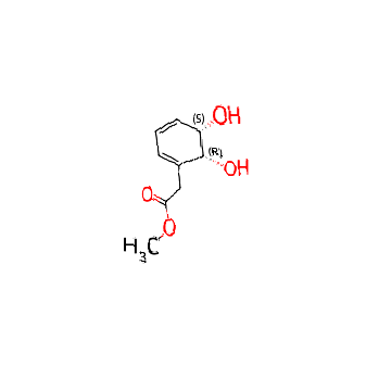 COC(=O)CC1=CC=C[C@H](O)[C@@H]1O